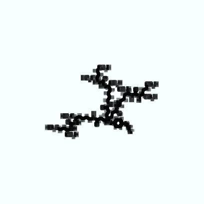 [N-]=[N+]=Nc1ccc(NC(CCC(=O)NCCCC[C@H](NC(=O)N[C@@H](CCC(=O)O)C(=O)O)C(=O)O)(CCC(=O)NCCCC[C@H](NC(=O)N[C@@H](CCC(=O)O)C(=O)O)C(=O)O)CCC(=O)NCCCC[C@H](NC(=O)N[C@@H](CCC(=O)O)C(=O)O)C(=O)O)cc1